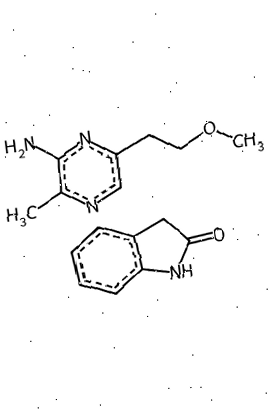 COCCc1cnc(C)c(N)n1.O=C1Cc2ccccc2N1